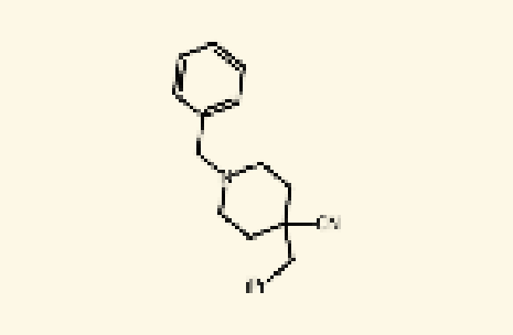 CC(C)CC1(C#N)CCN(Cc2ccccc2)CC1